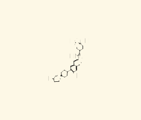 CC1(C)CCC(C(=O)Nc2cc3cc(C4CCC(N5CCC(F)C5)CC4)c(Cl)cc3cn2)CO1